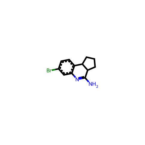 NC1=Nc2cc(Br)ccc2C2CCCC12